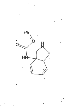 CC(C)(C)OC(=O)NC12C=CC=CC1CNC2